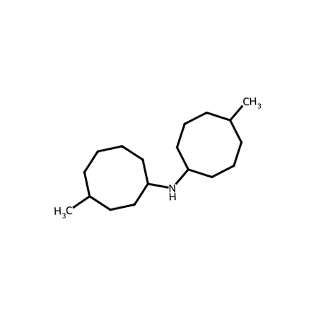 CC1CCCC(NC2CCCCC(C)CC2)CCC1